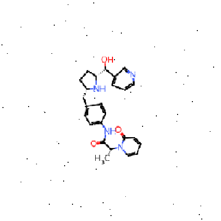 C[C@H](C(=O)Nc1ccc(C[C@@H]2CC[C@H](C(O)c3cccnc3)N2)cc1)n1ccccc1=O